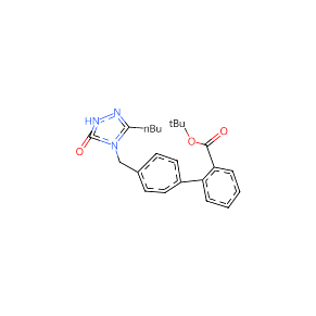 CCCCc1n[nH]c(=O)n1Cc1ccc(-c2ccccc2C(=O)OC(C)(C)C)cc1